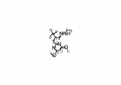 CCN/N=C/C(Sc1nc(OC)cc(OC)n1)C(C)(C)C